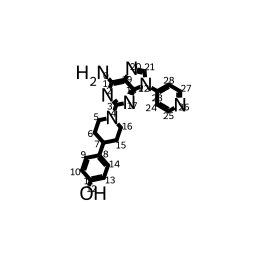 Nc1nc(N2CCC(c3ccc(O)cc3)CC2)nc2c1ncn2-c1ccncc1